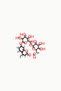 Cc1cc(=O)oc2cc(OC3OC(COC4OC(CO)C(O)C(O)C4O)C(O)C(O)C3O)ccc12